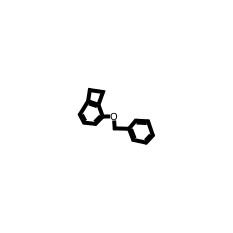 c1ccc(COc2cccc3c2CC3)cc1